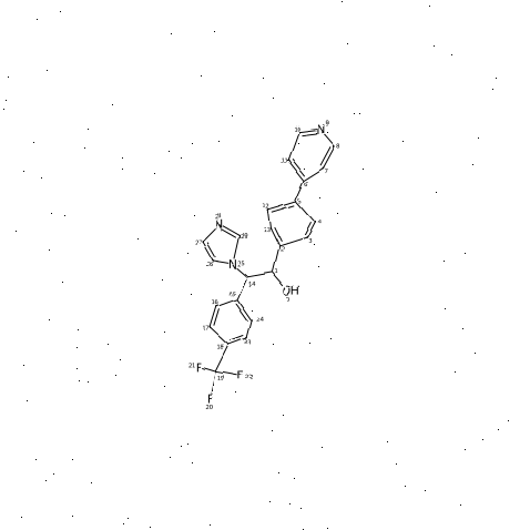 OC(c1ccc(-c2ccncc2)cc1)C(c1ccc(C(F)(F)F)cc1)n1ccnc1